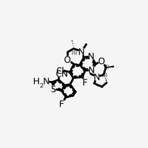 C[C@H](Oc1nc2c3c(c(Cl)c(-c4ccc(F)c5sc(N)c(C#N)c45)c(F)c3n1)OC[C@H](C)N2C)[C@@H]1CCCN1C